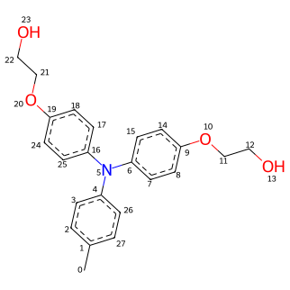 Cc1ccc(N(c2ccc(OCCO)cc2)c2ccc(OCCO)cc2)cc1